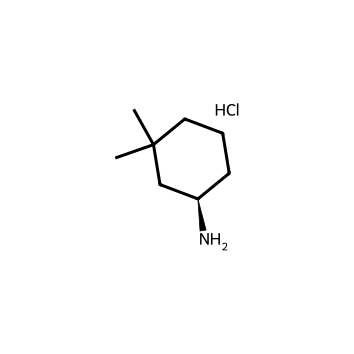 CC1(C)CCC[C@@H](N)C1.Cl